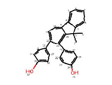 CC1(C)c2ccccc2-c2ccc(-c3ccc(O)cc3)c(-c3ccc(O)cc3)c21